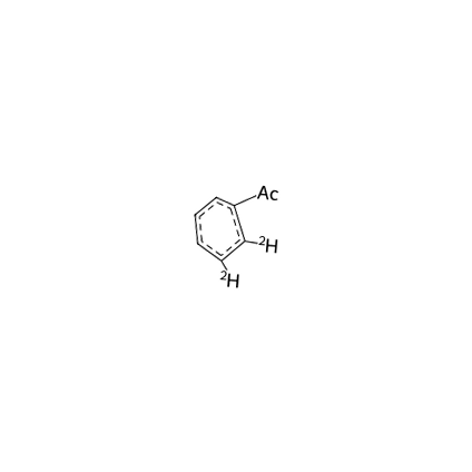 [2H]c1cccc(C(C)=O)c1[2H]